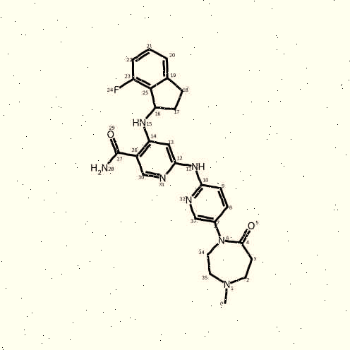 CN1CCC(=O)N(c2ccc(Nc3cc(NC4CCc5cccc(F)c54)c(C(N)=O)cn3)nc2)CC1